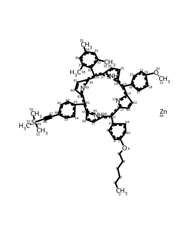 CCCCCCOc1ccc(-c2c3nc(c(-c4ccc(OC)cc4)c4ccc([nH]4)c(-c4c(C)cc(C)cc4C)c4nc(c(-c5ccc(C#C[Si](C)(C)C)cc5)c5ccc2[nH]5)C=C4)C=C3)cc1.[Zn]